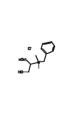 CCCCCCCCC(CO)[N+](C)(C)Cc1ccccc1.[Cl-]